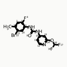 Cc1cc(F)c(NC(=O)Nc2ccnc(OC(F)F)c2)cc1Br